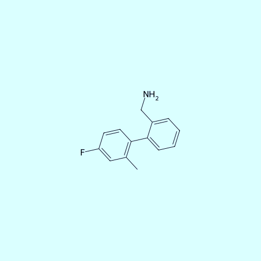 Cc1cc(F)ccc1-c1ccccc1CN